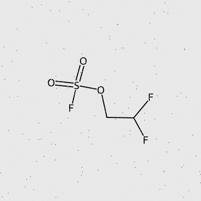 O=S(=O)(F)OCC(F)F